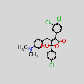 CN(C)c1ccc(CC2=C(c3ccc(Cl)c(Cl)c3)C(=O)OC2(O)c2ccc(Cl)cc2)cc1